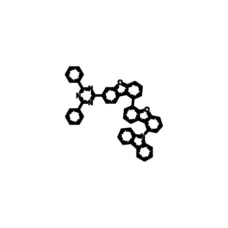 c1ccc(-c2nc(-c3ccccc3)nc(-c3ccc4c(c3)oc3cccc(-c5cccc6c5oc5cccc(-n7c8ccccc8c8ccccc87)c56)c34)n2)cc1